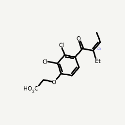 C/C=C(/CC)C(=O)c1ccc(OCC(=O)O)c(Cl)c1Cl